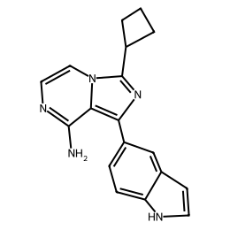 Nc1nccn2c(C3CCC3)nc(-c3ccc4[nH]ccc4c3)c12